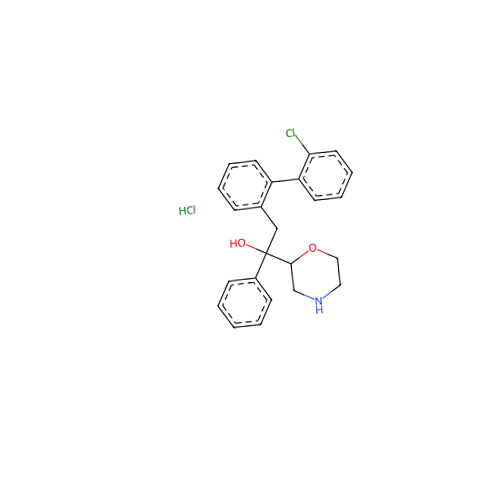 Cl.OC(Cc1ccccc1-c1ccccc1Cl)(c1ccccc1)C1CNCCO1